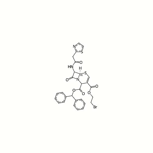 O=C(Cc1nccs1)NC1C(=O)N2C(C(=O)OC(c3ccccc3)c3ccccc3)C(C(=O)OCCBr)=CS[C@H]12